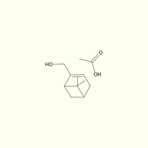 CC(=O)O.CC1(C)C2CC=C(CO)C1C2